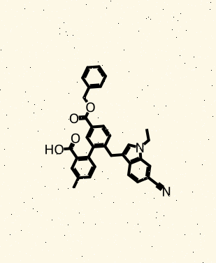 CCn1cc(Cc2ccc(C(=O)OCc3ccccc3)cc2-c2ccc(C)cc2C(=O)O)c2ccc(C#N)cc21